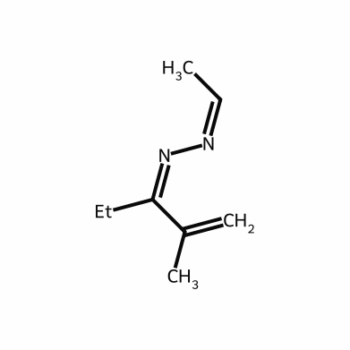 C=C(C)/C(CC)=N\N=C/C